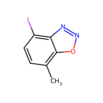 Cc1ccc(I)c2nnoc12